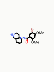 COc1cc(OC)c(C(=O)Nc2cccc3c2CCNC3)cc1Br